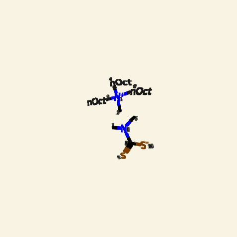 CCCCCCCC[N+](C)(CCCCCCCC)CCCCCCCC.CN(C)C(=S)[S-]